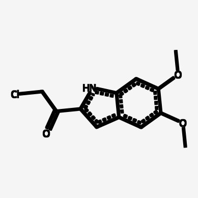 COc1cc2cc(C(=O)CCl)[nH]c2cc1OC